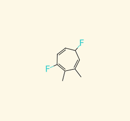 CC1=CC(F)C=CC(F)=C1C